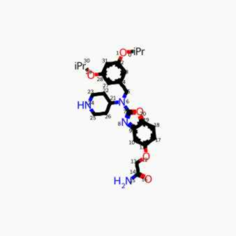 CC(C)Oc1cc(CN(c2nc3cc(OCC(N)=O)ccc3o2)C2CCNCC2)cc(OC(C)C)c1